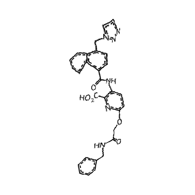 O=C(COc1ccc(NC(=O)c2ccc(Cn3ccnn3)c3ccccc23)c(C(=O)O)n1)NCc1ccccc1